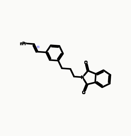 CCC/C=C/c1cccc(CCCN2C(=O)c3ccccc3C2=O)c1